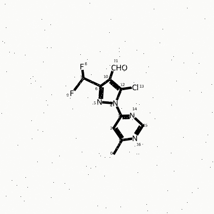 Cc1cc(-n2nc(C(F)F)c(C=O)c2Cl)ncn1